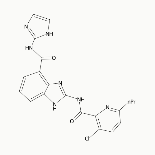 CCCc1ccc(Cl)c(C(=O)Nc2nc3c(C(=O)Nc4ncc[nH]4)cccc3[nH]2)n1